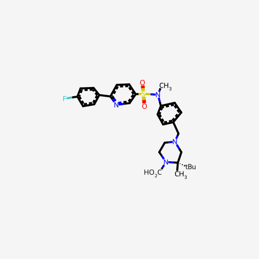 CN(c1ccc(CN2CCN(C(=O)O)[C@@](C)(C(C)(C)C)C2)cc1)S(=O)(=O)c1ccc(-c2ccc(F)cc2)nc1